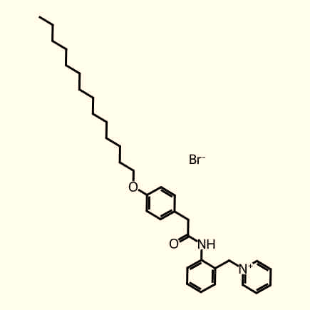 CCCCCCCCCCCCCCOc1ccc(CC(=O)Nc2ccccc2C[n+]2ccccc2)cc1.[Br-]